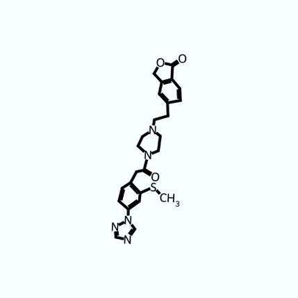 CSc1cc(-n2cncn2)ccc1CC(=O)N1CCN(CCc2ccc3c(c2)COC3=O)CC1